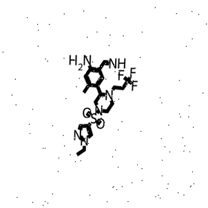 CCn1cc(S(=O)(=O)N2CCN(CCC(F)(F)F)C(c3cc(C=N)c(N)cc3C)C2)cn1